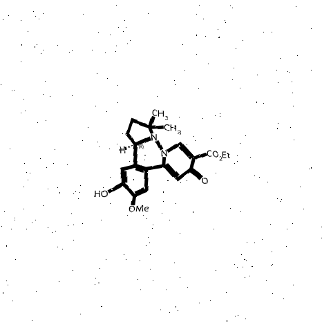 CCOC(=O)c1cn2c(cc1=O)-c1cc(OC)c(O)cc1[C@H]1CCC(C)(C)N12